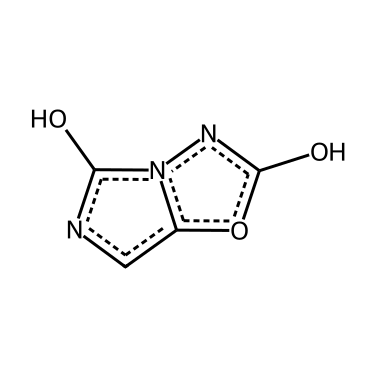 Oc1nn2c(O)ncc2o1